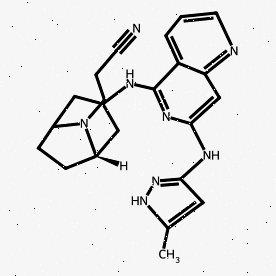 Cc1cc(Nc2cc3ncccc3c(NC3CC4CC[C@@H](C3)N4CCC#N)n2)n[nH]1